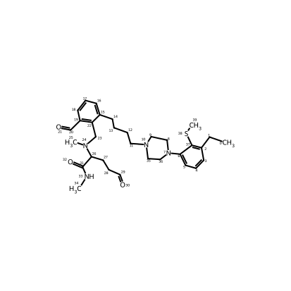 CCc1cccc(N2CCN(CCCCc3cccc(C=O)c3CN(C)C(CCC=O)C(=O)NC)CC2)c1SC